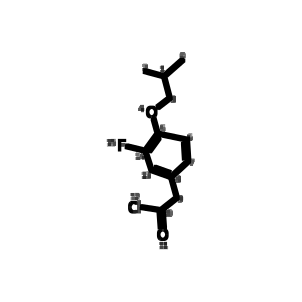 CC(C)COc1ccc(CC(=O)Cl)cc1F